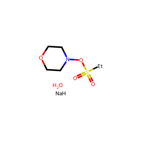 CCS(=O)(=O)ON1CCOCC1.O.[NaH]